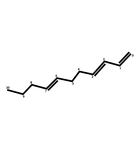 C=CC=CCCC=CCCC